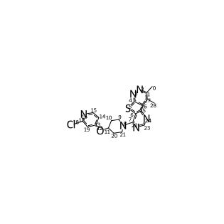 Cc1nnc2sc3c(N4CCC(Oc5ccnc(Cl)c5)CC4)ncnc3c2c1C